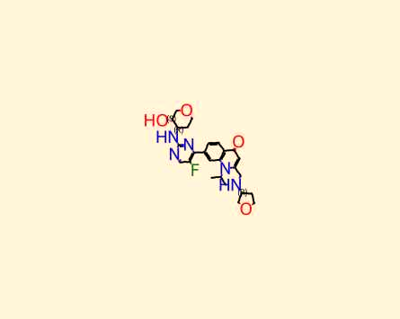 CC(C)n1c(CN[C@@H]2CCOC2)cc(=O)c2ccc(-c3nc(N[C@@H]4CCOC[C@H]4O)ncc3F)cc21